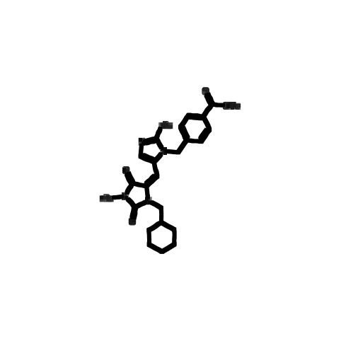 CCCCc1ncc(C=C2C(=O)N(CCCC)C(=O)N2CC2CCCCC2)n1Cc1ccc(C(=O)OC)cc1